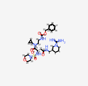 N=C(N)N1CCC[C@@H](CNC(=O)C[C@H](NS(=O)(=O)N2CCOCC2)C(=O)N(CCNC(=O)OCc2ccccc2)C2CC2)C1